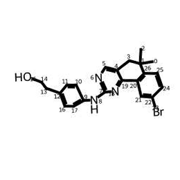 CC1(C)Cc2cnc(Nc3ccc(CCO)cc3)nc2-c2cc(Br)ccc21